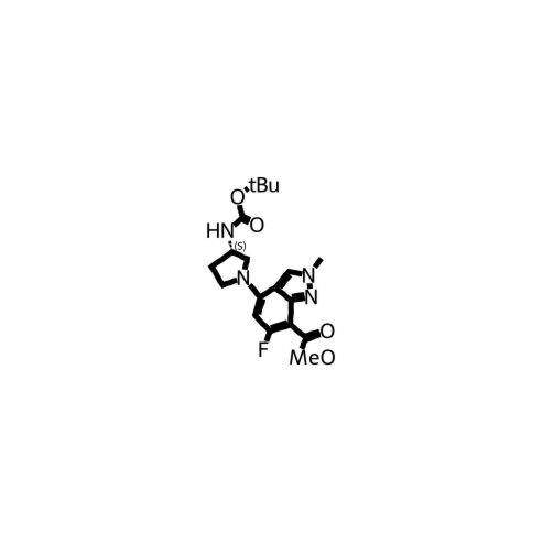 COC(=O)c1c(F)cc(N2CC[C@H](NC(=O)OC(C)(C)C)C2)c2cn(C)nc12